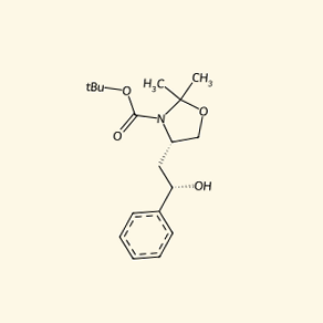 CC(C)(C)OC(=O)N1[C@@H](C[C@H](O)c2ccccc2)COC1(C)C